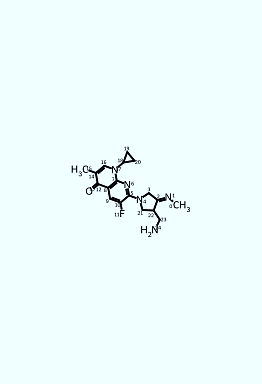 CN=C1CN(c2nc3c(cc2F)c(=O)c(C)cn3C2CC2)CC1CN